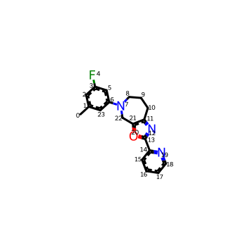 Cc1cc(F)cc(N2CCCc3nc(-c4ccccn4)oc3C2)c1